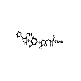 COC(=S)NCC1CN(c2ccc(-n3nnc(-n4cccn4)c3C)c(F)c2)C(=O)O1